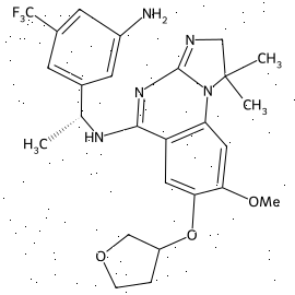 COc1cc2c(cc1OC1CCOC1)C(N[C@H](C)c1cc(N)cc(C(F)(F)F)c1)=NC1=NCC(C)(C)N12